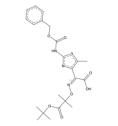 Cc1sc(NC(=O)OCc2ccccc2)nc1/C(=N/OC(C)(C)C(=O)OC(C)(C)C)C(=O)O